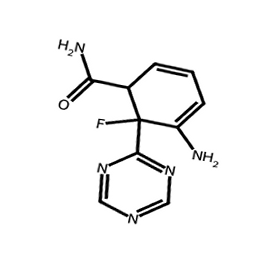 NC(=O)C1C=CC=C(N)C1(F)c1ncncn1